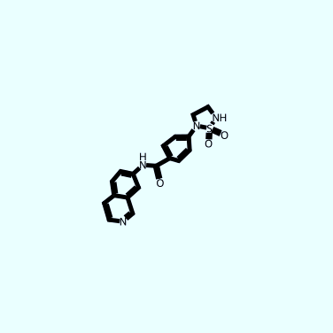 O=C(Nc1ccc2ccncc2c1)c1ccc(N2CCNS2(=O)=O)cc1